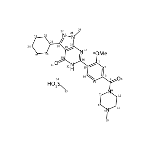 COc1cc(C(=O)N2CCN(C)CC2)ccc1-c1nc2c(c(C3CCCCC3)nn2C)c(=O)[nH]1.CS(=O)(=O)O